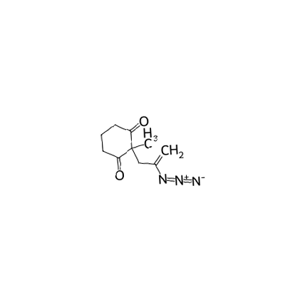 C=C(CC1(C)C(=O)CCCC1=O)N=[N+]=[N-]